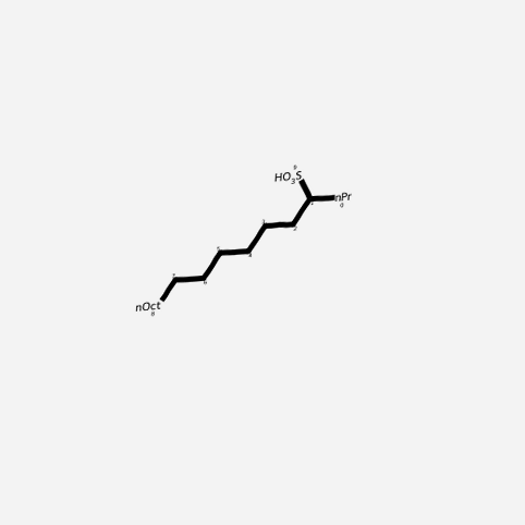 C[CH]CC(CCCCCCCCCCCCCC)S(=O)(=O)O